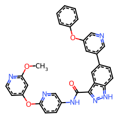 COc1cc(Oc2ccc(NC(=O)c3n[nH]c4ccc(-c5cncc(Oc6ccccc6)c5)cc34)cn2)ccn1